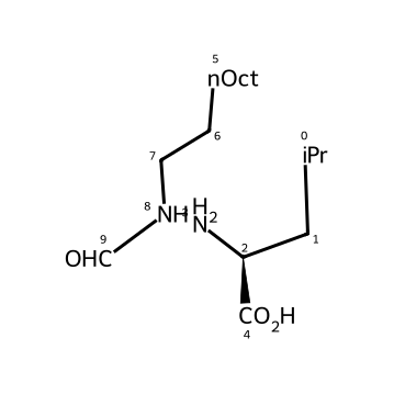 CC(C)C[C@H](N)C(=O)O.CCCCCCCCCCNC=O